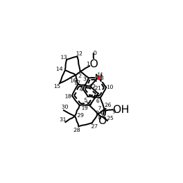 COC1(c2ccc(C(=O)O)cn2)CCC2CC21c1cc2c(cc1C)C(C)(C)CCC2(C)C